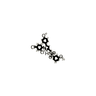 COc1ccc(C2CC(CNS(=O)(=O)c3cccc(OC)c3)=NN2c2ccc(Cl)cc2Cl)cc1